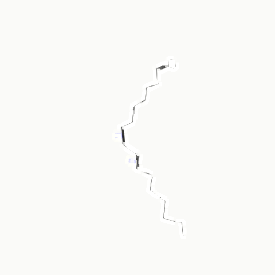 CCCCCC/C=C/C=C\CCCCCC=O